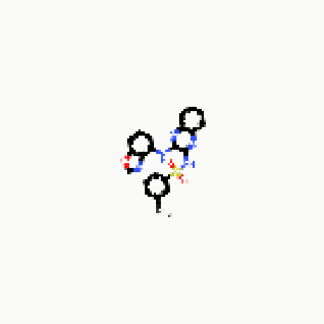 O=[N+]([O-])c1cccc(S(=O)(=O)Nc2nc3ccccc3nc2Nc2cccc3ocnc23)c1